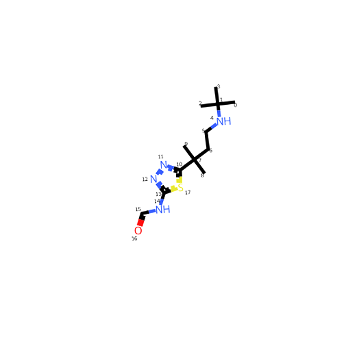 CC(C)(C)NCCC(C)(C)c1nnc(NC=O)s1